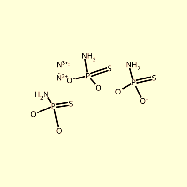 NP([O-])([O-])=S.NP([O-])([O-])=S.NP([O-])([O-])=S.[N+3].[N+3]